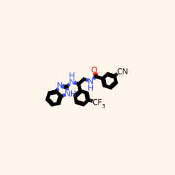 N#Cc1cccc(C(=O)NCC(Nc2nc3ccccc3[nH]2)c2cccc(C(F)(F)F)c2)c1